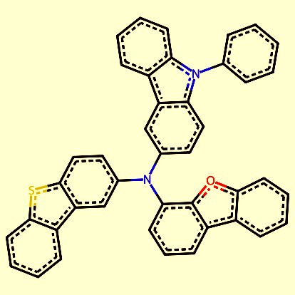 c1ccc(-n2c3ccccc3c3cc(N(c4ccc5sc6ccccc6c5c4)c4cccc5c4oc4ccccc45)ccc32)cc1